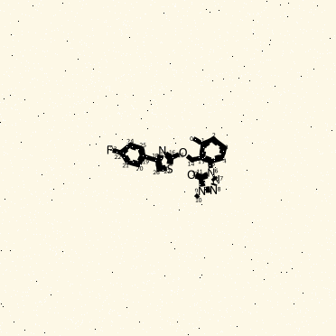 Cc1cccc(-n2nnn(C)c2=O)c1COc1nc(-c2ccc(F)cc2)cs1